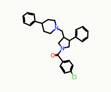 O=C(c1ccc(Cl)cc1)N1CC(CN2CCC(c3ccccc3)CC2)C(c2ccccc2)C1